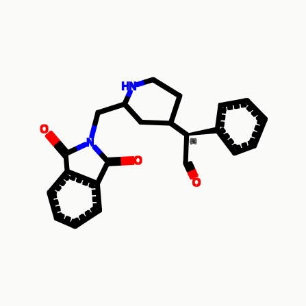 O=C[C@H](c1ccccc1)C1CCNC(CN2C(=O)c3ccccc3C2=O)C1